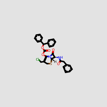 O=C(Cc1ccccc1)N[C@@H]1C(=O)N2C(OC(=O)OC(c3ccccc3)c3ccccc3)=C(CCl)CS[C@@H]12